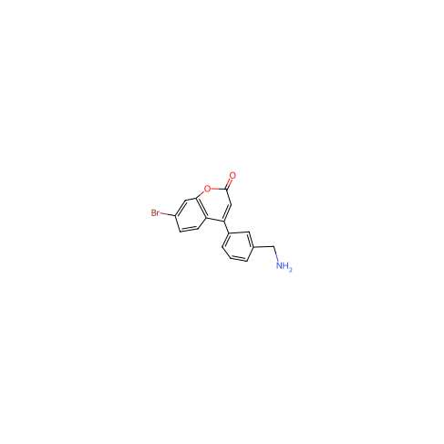 NCc1cccc(-c2cc(=O)oc3cc(Br)ccc23)c1